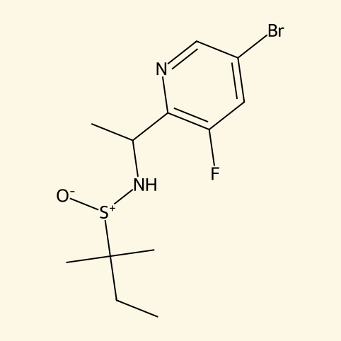 CCC(C)(C)[S+]([O-])NC(C)c1ncc(Br)cc1F